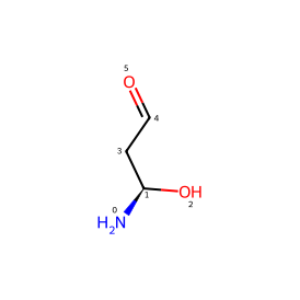 N[C@H](O)CC=O